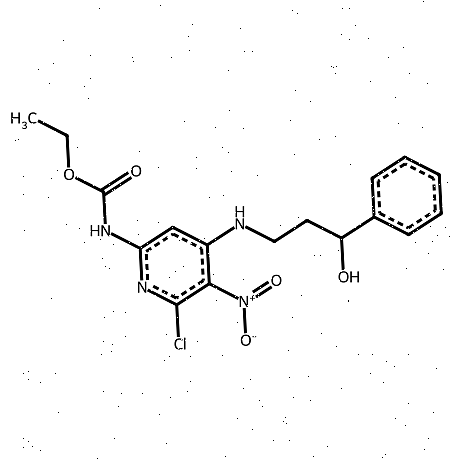 CCOC(=O)Nc1cc(NCCC(O)c2ccccc2)c([N+](=O)[O-])c(Cl)n1